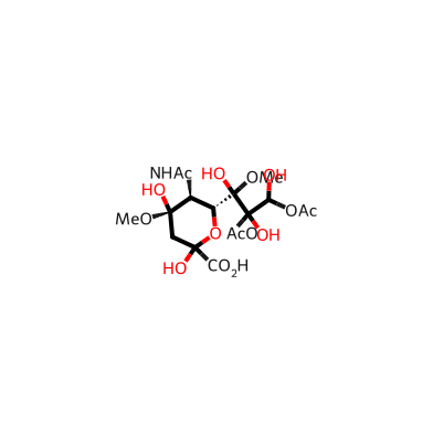 COC(O)([C@@H]1OC(O)(C(=O)O)C[C@@](O)(OC)[C@H]1NC(C)=O)C(O)(OC(C)=O)C(O)OC(C)=O